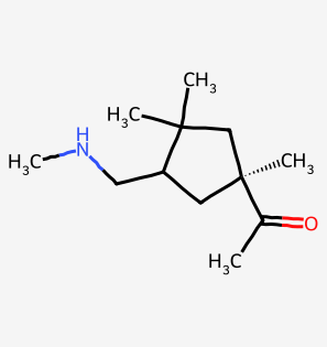 CNCC1C[C@](C)(C(C)=O)CC1(C)C